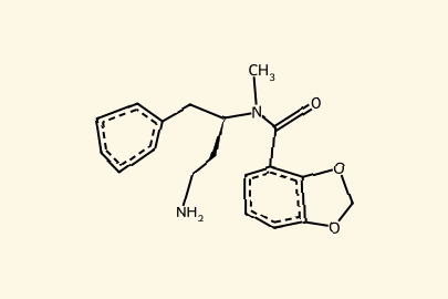 CN(C(=O)c1cccc2c1OCO2)[C@@H](CCN)Cc1ccccc1